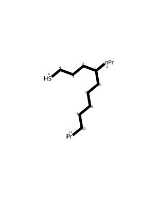 CCCC(CCCS)CCCCCC(C)C